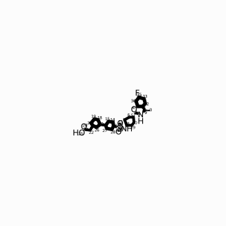 C[C@@H](NC(=O)[C@H]1CC[C@H](NS(=O)(=O)c2ccc(-c3cccc(CC(=O)O)c3)cc2)CC1)c1ccc(F)cc1